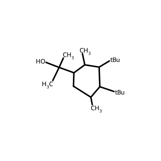 CC1CC(C(C)(C)O)C(C)C(C(C)(C)C)C1C(C)(C)C